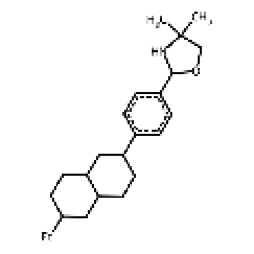 CCC1CCC2CC(c3ccc(C4NC(C)(C)CO4)cc3)CCC2C1